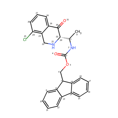 CC(NC(=O)OCC1c2ccccc2-c2ccccc21)[C@@H]1NCc2c(Cl)cccc2C1=O